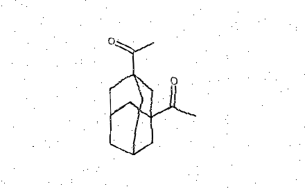 CC(=O)C12CC3CC(C1)CC(C(C)=O)(C3)C2